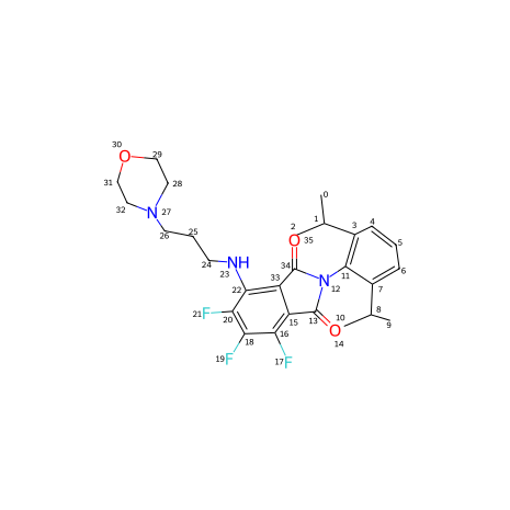 CC(C)c1cccc(C(C)C)c1N1C(=O)c2c(F)c(F)c(F)c(NCCCN3CCOCC3)c2C1=O